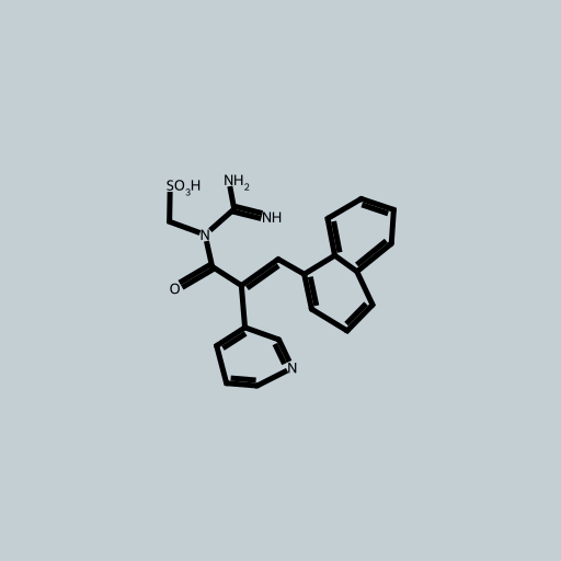 N=C(N)N(CS(=O)(=O)O)C(=O)/C(=C/c1cccc2ccccc12)c1cccnc1